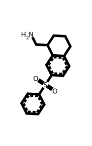 NCC1CCCc2ccc(S(=O)(=O)c3ccccc3)cc21